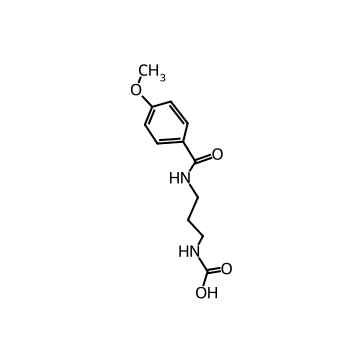 COc1ccc(C(=O)NCCCNC(=O)O)cc1